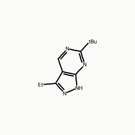 CCc1n[nH]c2nc(C(C)(C)C)ncc12